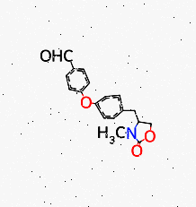 CN1C(=O)OCC1Cc1ccc(Oc2ccc(C=O)cc2)cc1